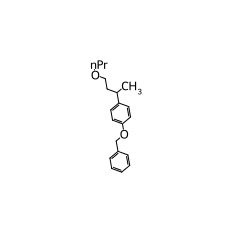 CCCOCCC(C)c1ccc(OCc2ccccc2)cc1